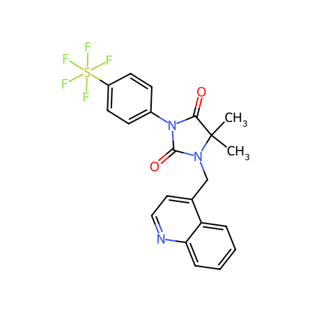 CC1(C)C(=O)N(c2ccc(S(F)(F)(F)(F)F)cc2)C(=O)N1Cc1ccnc2ccccc12